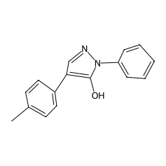 Cc1ccc(-c2cnn(-c3ccccc3)c2O)cc1